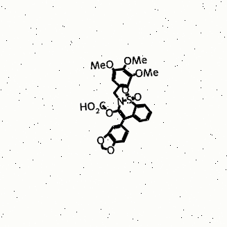 COc1cc(CN2C(OC(=O)O)=C(c3ccc4c(c3)OCO4)c3ccccc3S2(=O)=O)cc(OC)c1OC